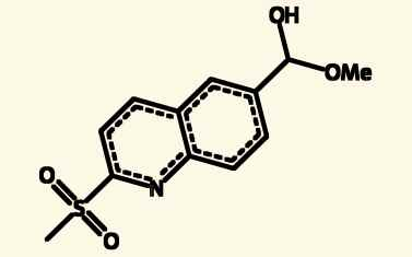 COC(O)c1ccc2nc(S(C)(=O)=O)ccc2c1